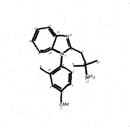 COc1ccc(-n2c(CC(C)(C)N)nc3ccccc32)c(C)c1